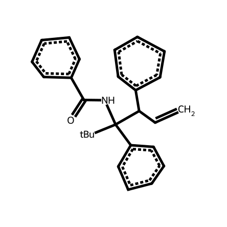 C=CC(c1ccccc1)C(NC(=O)c1ccccc1)(c1ccccc1)C(C)(C)C